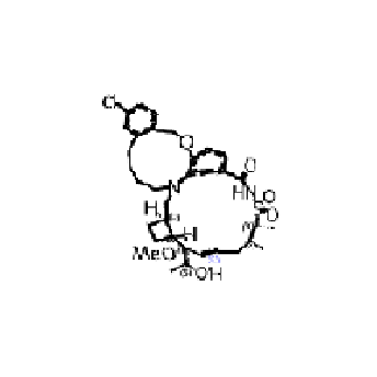 CO[C@@]1([C@H](C)O)/C=C/C[C@H](C)[C@@H](C)S(=O)(=O)NC(=O)c2ccc3c(c2)N(CCCCc2cc(Cl)ccc2CO3)C[C@@H]2CC[C@H]21